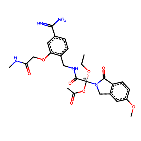 CCO[C@](OC(C)=O)(C(=O)NCc1ccc(C(=N)N)cc1OCC(=O)NC)N1Cc2cc(OC)ccc2C1=O